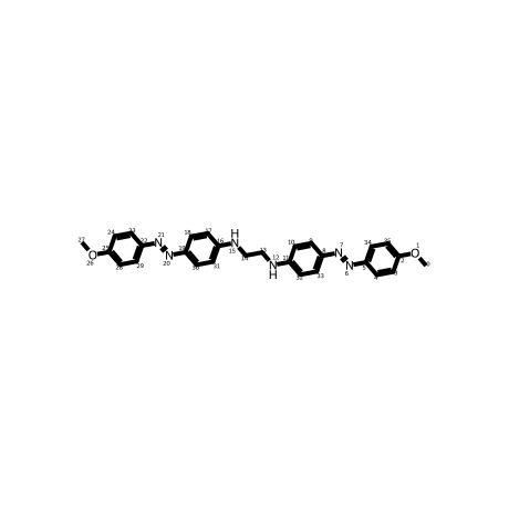 COc1ccc(/N=N/c2ccc(NCCNc3ccc(/N=N/c4ccc(OC)cc4)cc3)cc2)cc1